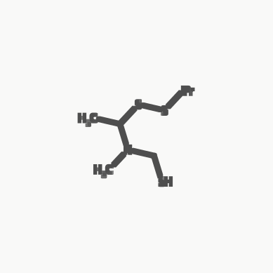 CC(C)SSC(C)N(C)CS